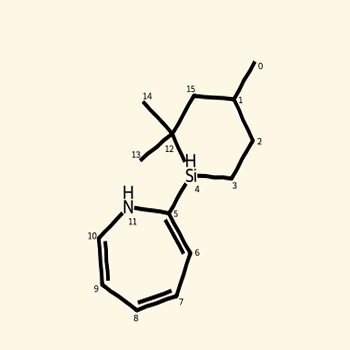 CC1CC[SiH](C2=CC=CC=CN2)C(C)(C)C1